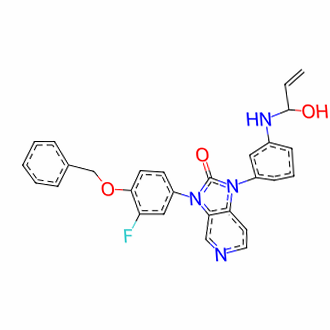 C=CC(O)Nc1cccc(-n2c(=O)n(-c3ccc(OCc4ccccc4)c(F)c3)c3cnccc32)c1